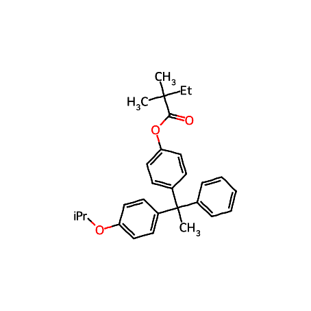 CCC(C)(C)C(=O)Oc1ccc(C(C)(c2ccccc2)c2ccc(OC(C)C)cc2)cc1